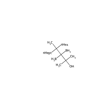 BC(B)(C(C)(C)O)C(C)(CCCCCC)CCCCCCC